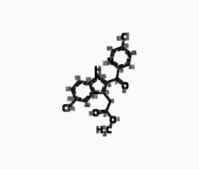 COC(=O)Cc1c(C(=O)c2ccc(Cl)cn2)[nH]c2ccc(Cl)cc12